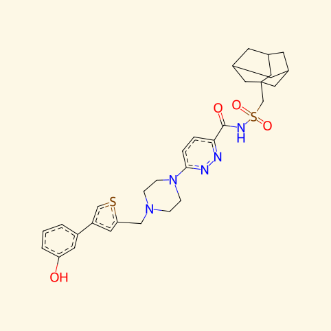 O=C(NS(=O)(=O)CC12CC3CC(CC(C3)C1)C2)c1ccc(N2CCN(Cc3cc(-c4cccc(O)c4)cs3)CC2)nn1